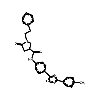 Cc1ccc(-c2noc(-c3ccc(NC(=O)C4CC(=O)N(CCc5ccccc5)C4)cc3)n2)cc1